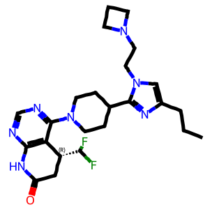 CCCc1cn(CCN2CCC2)c(C2CCN(c3ncnc4c3[C@H](C(F)F)CC(=O)N4)CC2)n1